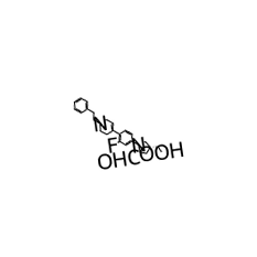 O=CC1O[C@@H](CO)CN1c1ccc(C2=CCN(CCc3ccccc3)CC2)c(F)c1